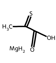 CC(=S)C(=O)O.[MgH2]